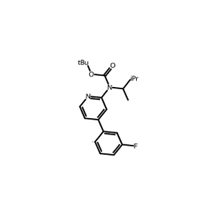 CC(C)C(C)N(C(=O)OC(C)(C)C)c1cc(-c2[c]ccc(F)c2)ccn1